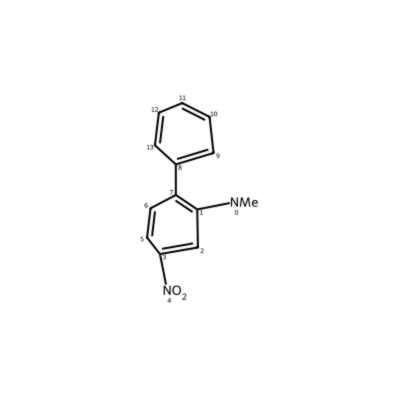 CNc1cc([N+](=O)[O-])ccc1-c1ccccc1